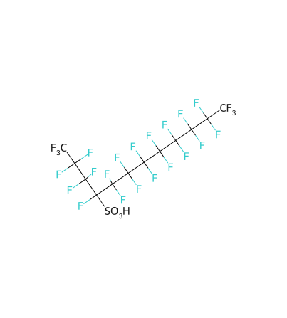 O=S(=O)(O)C(F)(C(F)(F)C(F)(F)C(F)(F)F)C(F)(F)C(F)(F)C(F)(F)C(F)(F)C(F)(F)C(F)(F)C(F)(F)C(F)(F)F